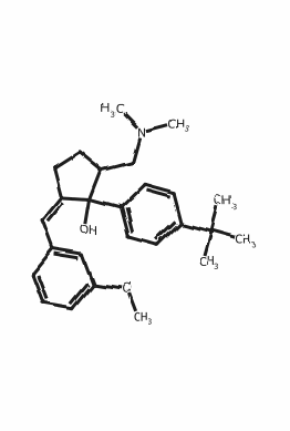 COc1cccc(C=C2CCC(CN(C)C)C2(O)c2ccc(C(C)(C)C)cc2)c1